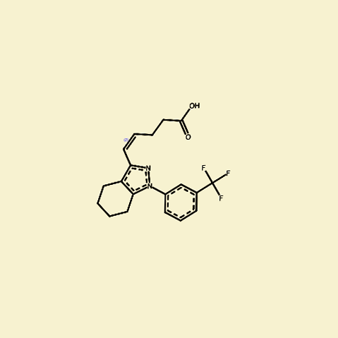 O=C(O)CC/C=C\c1nn(-c2cccc(C(F)(F)F)c2)c2c1CCCC2